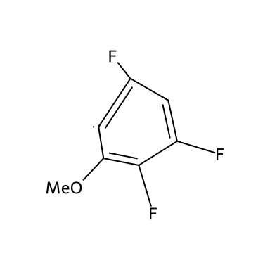 COc1[c]c(F)cc(F)c1F